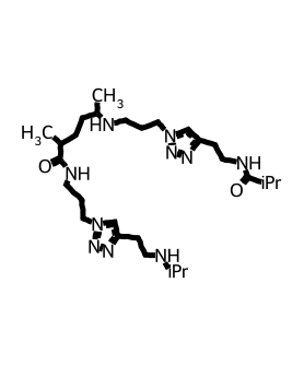 CC(C)NCCc1cn(CCCNC(=O)C(C)CCC(C)NCCCn2cc(CCNC(=O)C(C)C)nn2)nn1